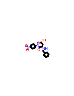 O=C(O)CC(NCc1ccccc1)C(=O)Nc1ccc([N+](=O)[O-])cc1